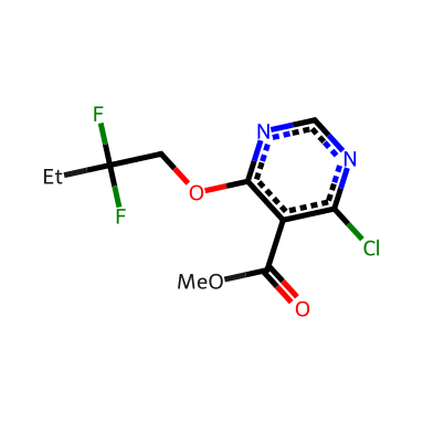 CCC(F)(F)COc1ncnc(Cl)c1C(=O)OC